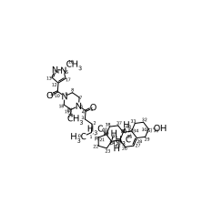 CC(CCC(=O)N1CCN(C(=O)c2cnn(C)c2)C[C@@H]1C)[C@H]1CC[C@H]2[C@@H]3CC=C4C[C@@H](O)CC[C@]4(C)[C@H]3CC[C@]12C